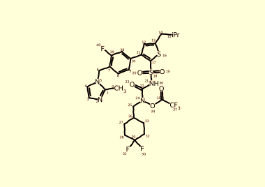 Cc1nccn1Cc1ccc(-c2cc(CC(C)C)sc2S(=O)(=O)NC(=O)N(CC2CCC(F)(F)CC2)OC(=O)C(F)(F)F)cc1F